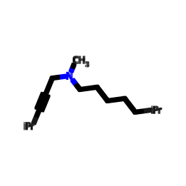 CC(C)C#CCN(C)CCCCCC(C)C